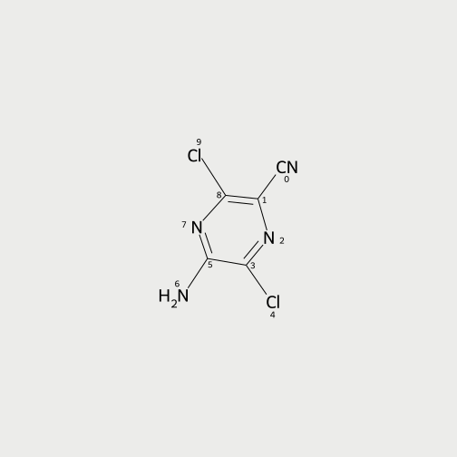 N#Cc1nc(Cl)c(N)nc1Cl